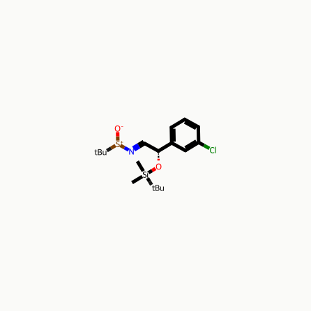 CC(C)(C)[S+]([O-])N=C[C@@H](O[Si](C)(C)C(C)(C)C)c1cccc(Cl)c1